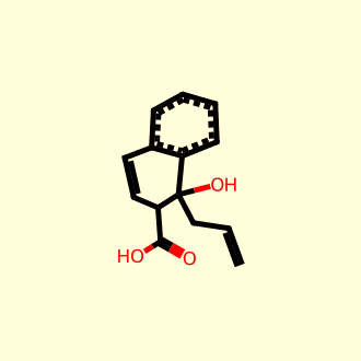 C=CCC1(O)c2ccccc2C=CC1C(=O)O